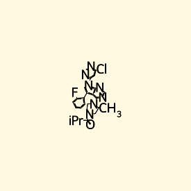 CC(C)C(=O)N1CCN(c2ncnc3c2c(-c2ccccc2F)cn3-c2cc(Cl)ncn2)[C@@H](C)C1